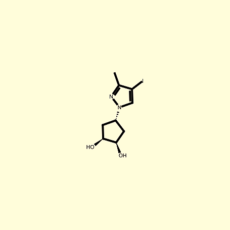 Cc1nn([C@@H]2C[C@@H](O)[C@@H](O)C2)cc1I